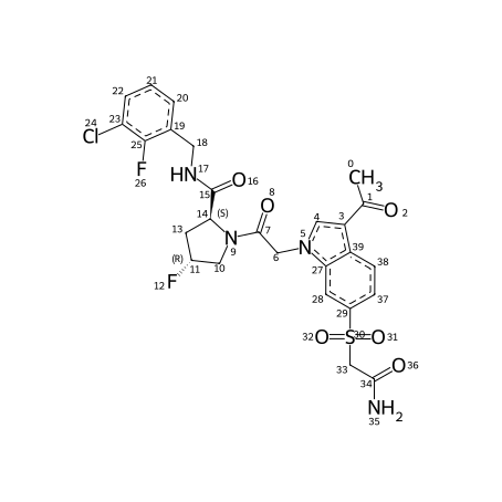 CC(=O)c1cn(CC(=O)N2C[C@H](F)C[C@H]2C(=O)NCc2cccc(Cl)c2F)c2cc(S(=O)(=O)CC(N)=O)ccc12